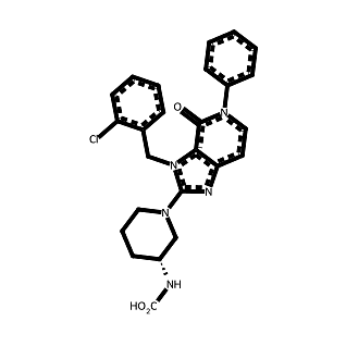 O=C(O)N[C@@H]1CCCN(c2nc3ccn(-c4ccccc4)c(=O)c3n2Cc2ccccc2Cl)C1